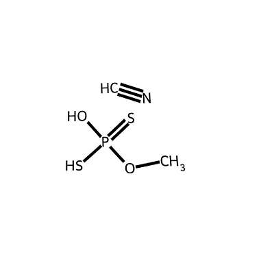 C#N.COP(O)(=S)S